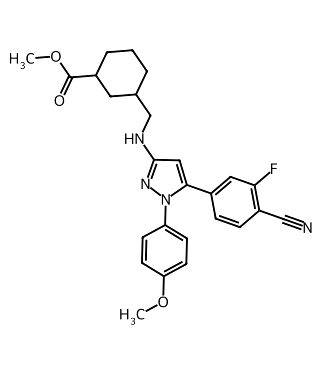 COC(=O)C1CCCC(CNc2cc(-c3ccc(C#N)c(F)c3)n(-c3ccc(OC)cc3)n2)C1